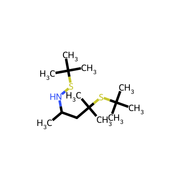 CC(CC(C)(C)SC(C)(C)C)NSC(C)(C)C